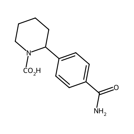 NC(=O)c1ccc(C2CCCCN2C(=O)O)cc1